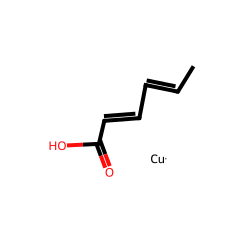 CC=CC=CC(=O)O.[Cu]